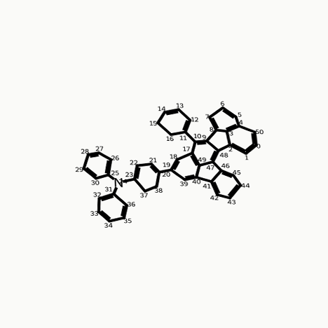 C1=C=c2c3c(cccc3c3c(C4=CC=CCC4)c4cc(C5=CC=C(N(c6ccccc6)c6ccccc6)CC5)cc5c6ccccc6c(c23)c45)C=1